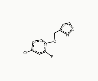 Fc1cc(Cl)ccc1OCc1ccsn1